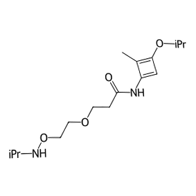 CC1=C(OC(C)C)C=C1NC(=O)CCOCCONC(C)C